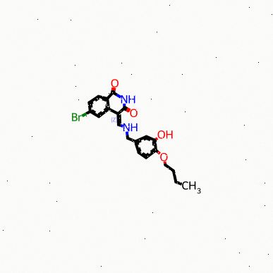 CCCCOc1ccc(CN/C=C2\C(=O)NC(=O)c3ccc(Br)cc32)cc1O